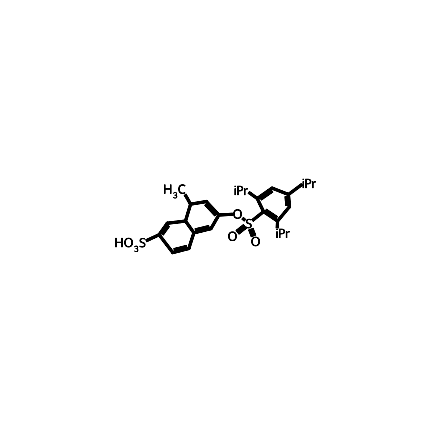 CC(C)c1cc(C(C)C)c(S(=O)(=O)OC2=CC(C)C3C=C(S(=O)(=O)O)C=CC3=C2)c(C(C)C)c1